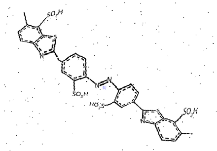 Cc1ccc2nc(-c3ccc(/N=N/c4ccc(-c5nc6ccc(C)c(S(=O)(=O)O)c6s5)cc4S(=O)(=O)O)c(S(=O)(=O)O)c3)sc2c1S(=O)(=O)O